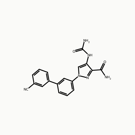 N#Cc1cccc(-c2cccc(-n3cc(NC(N)=O)c(C(N)=O)n3)c2)c1